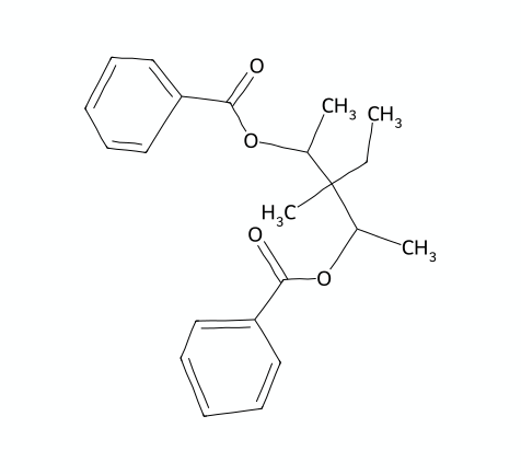 CCC(C)(C(C)OC(=O)c1ccccc1)C(C)OC(=O)c1ccccc1